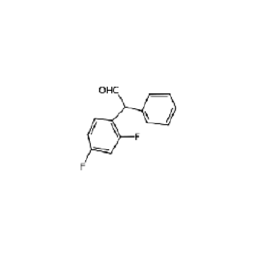 O=CC(c1ccccc1)c1ccc(F)cc1F